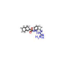 N=C(N)N/N=C1/CCc2ccc(NS(=O)(=O)c3ccc4ccccc4c3)cc21